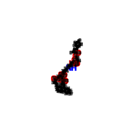 Cc1ccc(CCC(C)C(=O)OCC(CO)OC(=O)CCCNCCCC(=O)OC(COC(=O)C(C)CCc2ccc(C)cc2)COC(=O)C(C)CCc2ccc(C)cc2)cc1